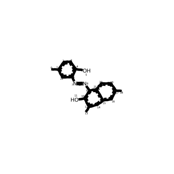 Cc1ccc(O)c(/N=N/c2c(O)c(C)cc3cc(C)ccc23)c1